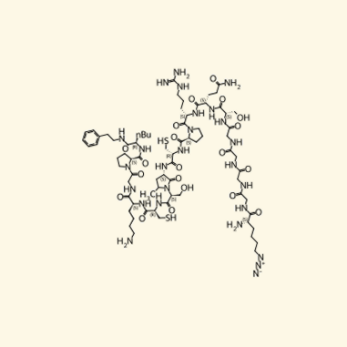 CCCC[C@@H](NC(=O)[C@@H]1CCCN1C(=O)CNC(=O)[C@H](CCCCN)NC(=O)[C@H](CS)NC(=O)[C@H](CO)N1C(=O)[C@@H](NC(=O)[C@H](CS)NC(=O)[C@@H]2CCCN2C(=O)[C@H](CCCNC(=N)N)NC(=O)[C@H](CCC(N)=O)NC(=O)[C@H](CO)NC(=O)CNC(=O)CNC(=O)CNC(=O)CNC(=O)[C@@H](N)CCCCN=[N+]=[N-])CC1C)C(=O)NCCc1ccccc1